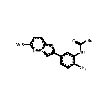 CSc1ccc2nc(-c3ccc(C(F)(F)F)c(NC(=O)C(C)(C)C)c3)cn2n1